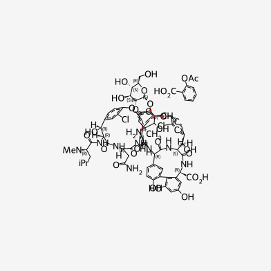 CC(=O)Oc1ccccc1C(=O)O.CN[C@H](CC(C)C)C(=O)N[C@H]1C(=O)N[C@@H](CC(N)=O)C(=O)N[C@H]2C(=O)N[C@H]3C(=O)N[C@H](C(=O)N[C@@H](C(=O)O)c4cc(O)cc(O)c4-c4cc3ccc4O)[C@H](O)c3ccc(c(Cl)c3)Oc3cc2cc(c3O[C@@H]2O[C@H](CO)[C@@H](O)[C@H](O)[C@H]2O[C@H]2C[C@](C)(N)C(O)[C@H](C)O2)Oc2ccc(cc2Cl)[C@H]1O